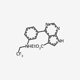 CCOC(=O)c1c[nH]c2ncnc(-c3cccc(NCC(F)(F)F)c3)c12